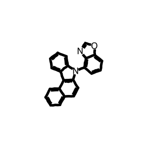 c1ccc2c(c1)ccc1c2c2ccccc2n1-c1cccc2ocnc12